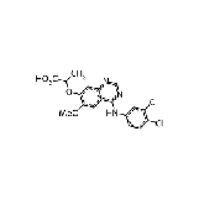 COc1cc2c(Nc3ccc(Cl)c(Cl)c3)ncnc2cc1OC(C)C(=O)O